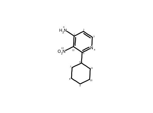 Nc1ccnc(C2CCCCC2)c1[N+](=O)[O-]